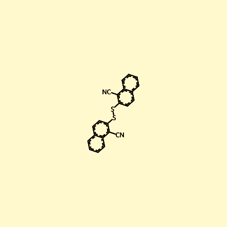 N#Cc1c(SSc2ccc3ccccc3c2C#N)ccc2ccccc12